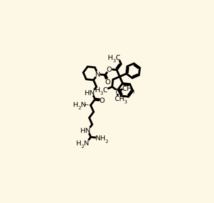 C/C=C(\OC(=O)N1CCCCC1CNC(=O)[C@@H](N)CCCNC(N)N)C(CC(C)N(C)C)(c1ccccc1)c1ccccc1